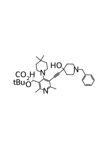 Cc1nc(C)c([C@H](OC(C)(C)C)C(=O)O)c(N2CCC(C)(C)CC2)c1C#CC1(O)CCN(Cc2ccccc2)CC1